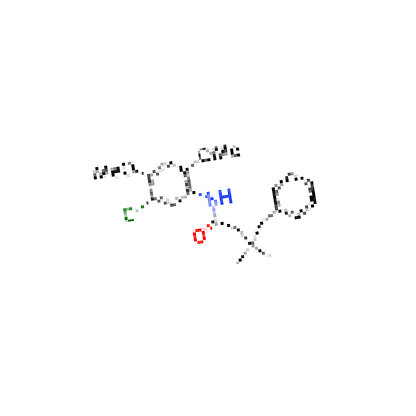 COc1cc(OC)c(NC(=O)C2C(c3ccccc3)C2(C)C)cc1Cl